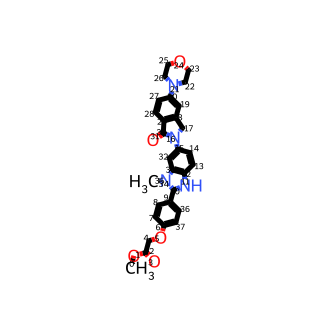 COC(=O)COc1ccc(C2Nc3ccc(N4Cc5cc(N6CCOCC6)ccc5C4=O)cc3N2C)cc1